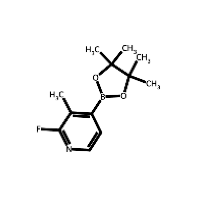 Cc1c(B2OC(C)(C)C(C)(C)O2)ccnc1F